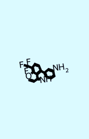 N=c1ccoc2c(C(F)(F)F)ccc(-c3cccc(N)c3)c12